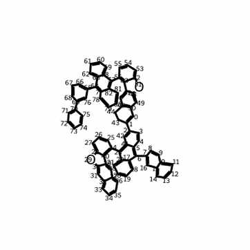 C1=C(c2ccc3c(-c4ccc5ccccc5c4)c4ccccc4c(-c4cccc5oc6cc7ccccc7cc6c45)c3c2)CCc2cc3c(cc21)oc1cccc(-c2c4ccccc4c(-c4cccc(-c5ccccc5)c4)c4ccccc24)c13